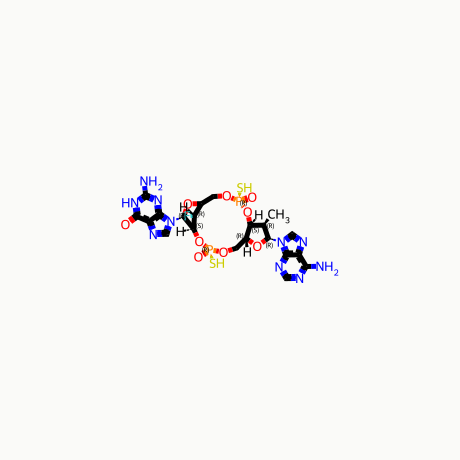 C[C@@H]1[C@@H]2O[P@](=O)(S)OCC3O[C@@H](n4cnc5c(=O)[nH]c(N)nc54)[C@H](O[P@](=O)(S)OC[C@H]2O[C@H]1n1cnc2c(N)ncnc21)[C@@H]3F